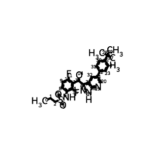 CCCS(=O)(=O)Nc1ccc(F)c(C(=O)c2n[nH]c3ncc(-c4ccc(C(C)(C)C)cc4)cc23)c1F